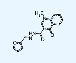 Cn1cc(C(=O)N/N=C/c2ccco2)c(=O)c2ccccc21